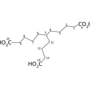 O=C(O)CCCCC(CCCCC(=O)O)CCCC(=O)O